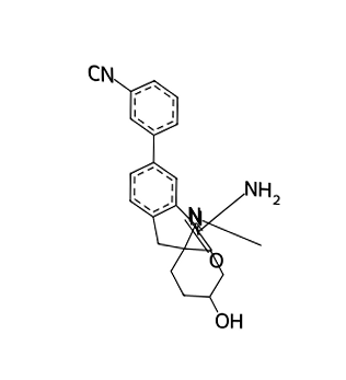 [C-]#[N+]c1cccc(-c2ccc3c(c2)C2(N=C(N)N(C)C2=O)C2(CCC(O)CC2)C3)c1